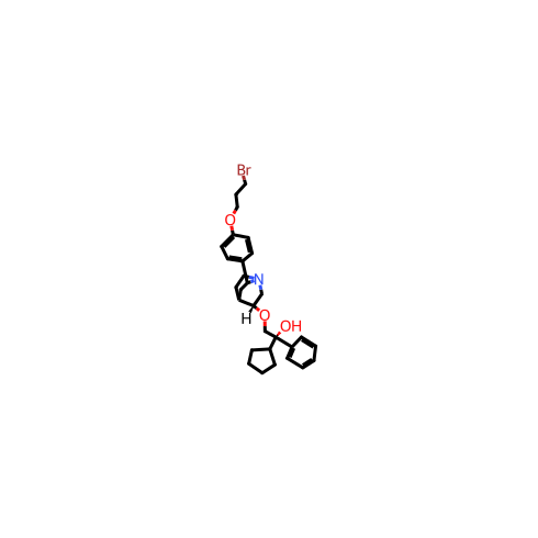 O[C@@](CO[C@H]1CN2CCC1CC2c1ccc(OCCCBr)cc1)(c1ccccc1)C1CCCC1